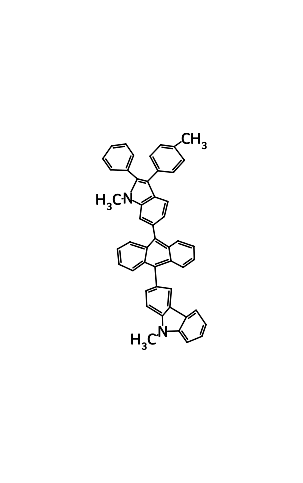 Cc1ccc(-c2c(-c3ccccc3)n(C)c3cc(-c4c5ccccc5c(-c5ccc6c(c5)c5ccccc5n6C)c5ccccc45)ccc23)cc1